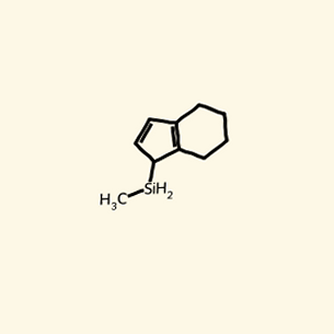 C[SiH2]C1C=CC2=C1CCCC2